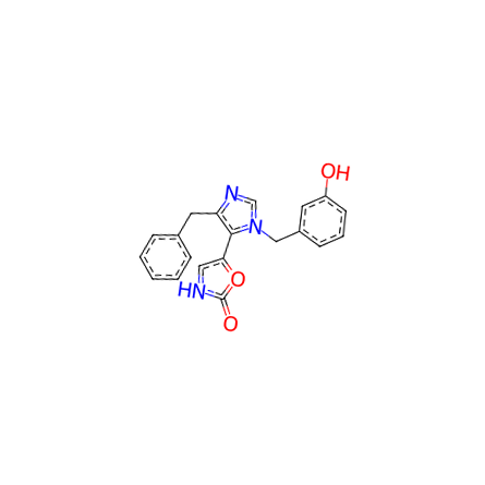 O=c1[nH]cc(-c2c(Cc3ccccc3)ncn2Cc2cccc(O)c2)o1